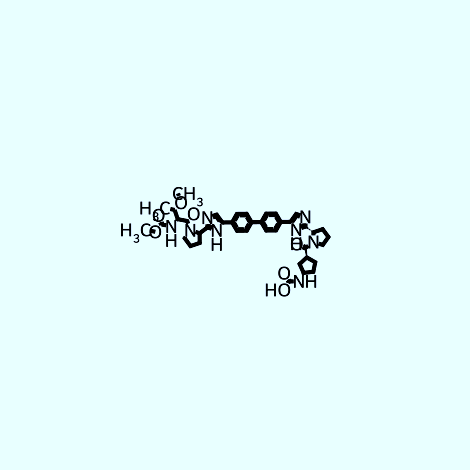 COC(=O)N[C@H](C(=O)N1CCCC1c1ncc(-c2ccc(-c3ccc(-c4cnc([C@@H]5CCCN5C(=O)[C@H]5CC[C@@H](NC(=O)O)C5)[nH]4)cc3)cc2)[nH]1)C(C)OC